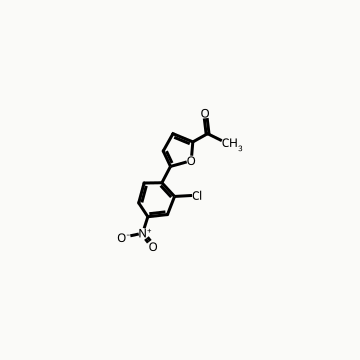 CC(=O)c1ccc(-c2ccc([N+](=O)[O-])cc2Cl)o1